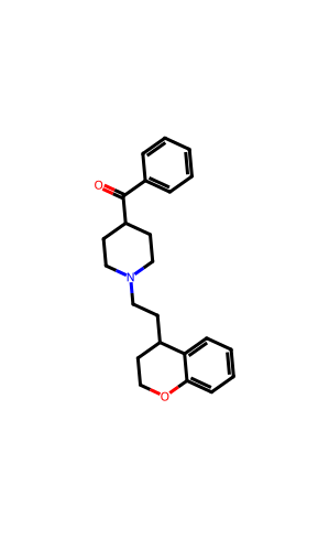 O=C(c1ccccc1)C1CCN(CCC2CCOc3ccccc32)CC1